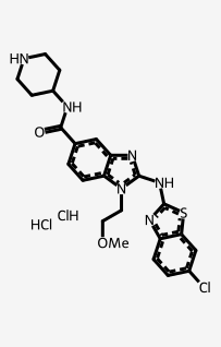 COCCn1c(Nc2nc3ccc(Cl)cc3s2)nc2cc(C(=O)NC3CCNCC3)ccc21.Cl.Cl